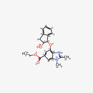 CCOC(=O)c1cc(OC2c3ccccc3CC2O)c2nc(C)n(C)c2c1